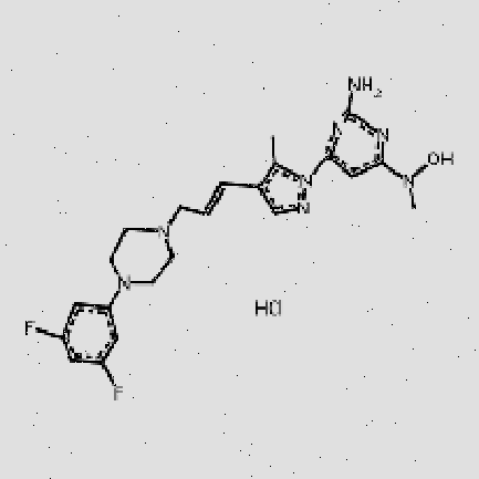 Cc1c(C=CCN2CCN(c3cc(F)cc(F)c3)CC2)cnn1-c1cc(N(C)O)nc(N)n1.Cl